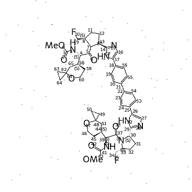 COC(=O)N[C@H](C(=O)C1[C@@H](CF)CC[C@H]1c1ncc(-c2ccc(-c3ccc(-c4cnc([C@@H]5CC[C@H](CF)N5C(=O)[C@@H](NC(=O)OC)[C@H]5CCOC6(CC6)C5)[nH]4)cc3)cc2)[nH]1)[C@H]1CCOC2(CC2)C1